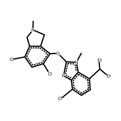 CCC(CC)c1ccc(Cl)c2nc(Oc3c(Cl)cc(Cl)c4c3CN(C)C4)n(C)c12